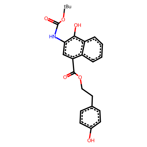 CC(C)(C)OC(=O)Nc1cc(C(=O)OCCc2ccc(O)cc2)c2ccccc2c1O